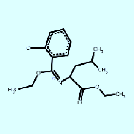 CCOC(=O)C(CC(C)C)/N=C(/OCC)c1ccccc1Cl